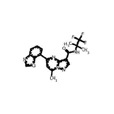 Cc1cc(-c2cccc3ncoc23)nc2c(C(=O)NC(C)(C)C(F)(F)F)cnn12